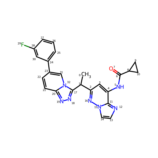 CC(c1cc(NC(=O)C2CC2)c2nccn2n1)c1nnc2ccc(-c3cccc(F)c3)cn12